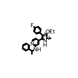 CCON1C(c2ccc(F)cc2)=C(c2ccnc(NC(C)c3ccccc3)c2)NN1C